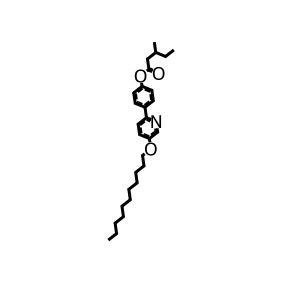 CCCCCCCCCCCOc1ccc(-c2ccc(OC(=O)CC(C)CC)cc2)nc1